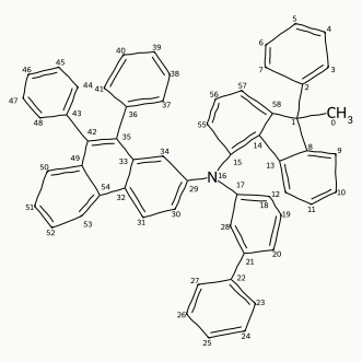 CC1(c2ccccc2)c2ccccc2-c2c(N(c3cccc(-c4ccccc4)c3)c3ccc4c(c3)c(-c3ccccc3)c(-c3ccccc3)c3ccccc34)cccc21